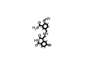 CCCOc1ccc(CN/C=C2\C(=O)NC(=O)c3ccc(Br)cc32)cc1C(N)=O